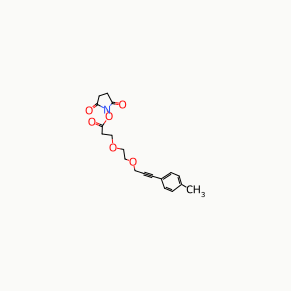 Cc1ccc(C#CCOCCOCCC(=O)ON2C(=O)CCC2=O)cc1